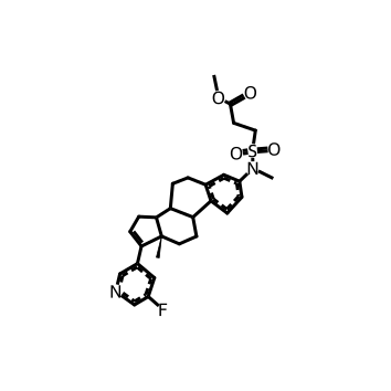 COC(=O)CCS(=O)(=O)N(C)c1ccc2c(c1)CCC1C2CC[C@]2(C)C(c3cncc(F)c3)=CCC12